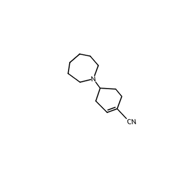 N#CC1=CCC(N2CCCCCC2)CC1